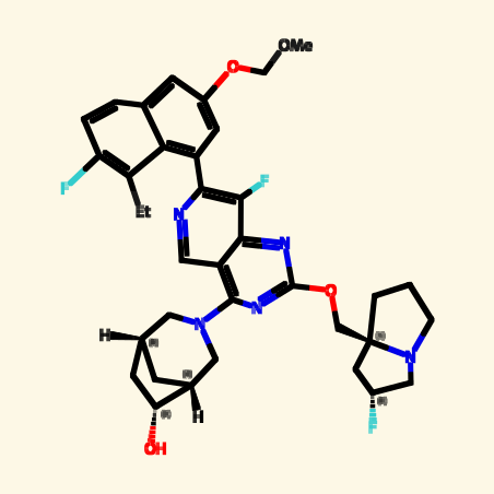 CCc1c(F)ccc2cc(OCOC)cc(-c3ncc4c(N5C[C@@H]6C[C@H](C5)[C@H](O)C6)nc(OC[C@@]56CCCN5C[C@H](F)C6)nc4c3F)c12